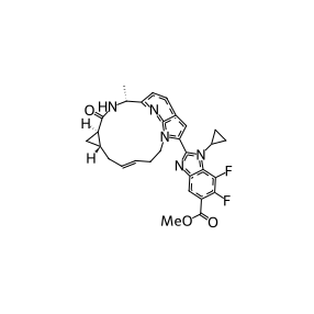 COC(=O)c1cc2nc(-c3cc4ccc5nc4n3CC/C=C/C[C@@H]3C[C@H]3C(=O)N[C@@H]5C)n(C3CC3)c2c(F)c1F